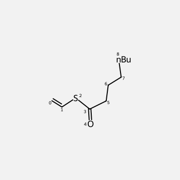 C=CSC(=O)CCCCCCC